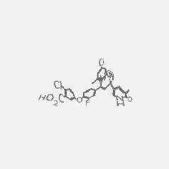 Cc1cc(Cl)ccc1C(C/C(=N\O)c1c[nH]c(=O)c(C)c1)c1ccc(Oc2ccc(Cl)c(C(=O)O)c2)c(F)c1